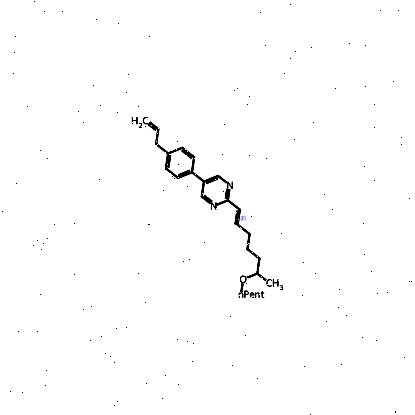 C=CCc1ccc(-c2cnc(/C=C/CCCC(C)OCCCCC)nc2)cc1